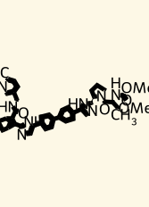 COC(=O)N[C@H](C(=O)N1CCC[C@H]1c1ncc(-c2ccc(-c3ccc(-c4cnc(C5C6CCC(C6)C5C(=O)NCc5ccc(C(F)(F)F)nc5)[nH]4)cc3)cc2)[nH]1)[C@@H](C)OC